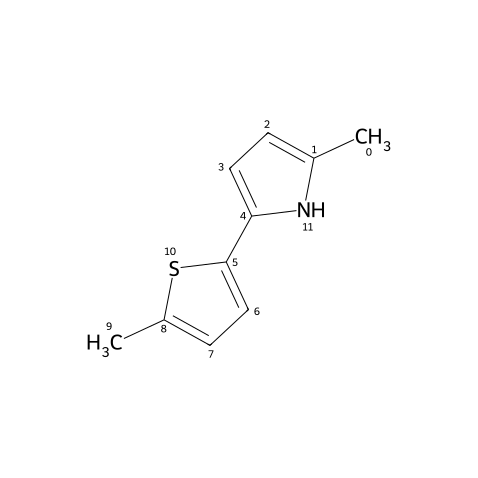 Cc1ccc(-c2ccc(C)s2)[nH]1